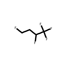 FCCC(F)C(F)(F)F